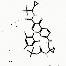 CC(C)(C)OC(=O)NC1(CNc2ccc3c(=O)c(C(=O)NC(C4CC4)C(F)(F)F)cn(-c4c(F)cc(F)cc4F)c3n2)CC1